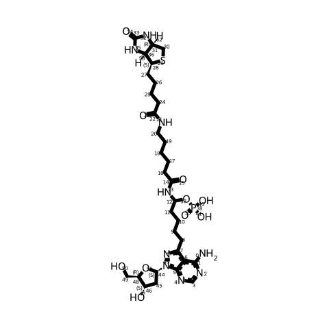 Nc1ncnc2c1c(CCCCC(NC(=O)CCCCCNC(=O)CCCC[C@@H]1SC[C@@H]3NC(=O)N[C@@H]31)OP(=O)(O)O)nn2[C@@H]1C[C@H](O)[C@@H](CO)O1